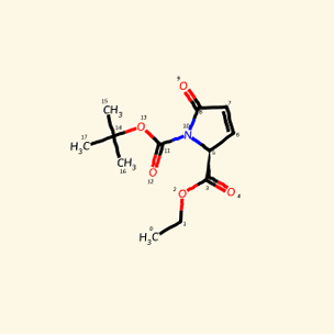 CCOC(=O)[C@@H]1C=CC(=O)N1C(=O)OC(C)(C)C